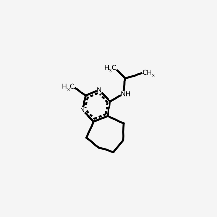 Cc1nc2c(c(NC(C)C)n1)CCCCC2